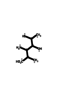 CC(S)C(O)C(N)C(C)C(=O)O